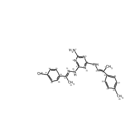 C/C(=N\Nc1nc(N)nc(N/N=C(\C)c2ccc(Cl)cc2)n1)c1ccc(C)cc1